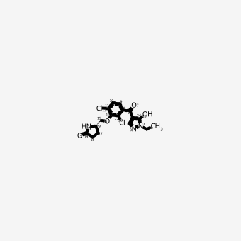 CCn1ncc(C(=O)c2ccc(Cl)c(OC[C@@H]3CCC(=O)N3)c2Cl)c1O